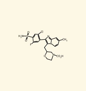 Cc1ccn2c(CC3CN(C(=O)O)CCO3)c(-c3cc(F)c(S(N)(=O)=O)cc3Cl)nc2c1